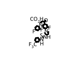 O=C(O)c1cn(-c2ccc(F)cc2F)c2cc(N3CCC(NC(=S)Nc4cccc(C(F)(F)F)c4)C3)c(F)cc2c1=O